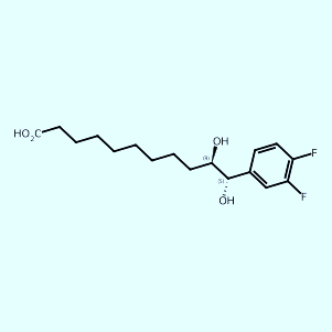 O=C(O)CCCCCCCC[C@@H](O)[C@@H](O)c1ccc(F)c(F)c1